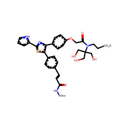 CCCCCCNC(=O)/C=C/c1ccc(-c2sc(-c3ccc[nH]3)nc2-c2ccc(OCC(=O)N(CCS(=O)(=O)O)C(CO)(CO)CO)cc2)cc1